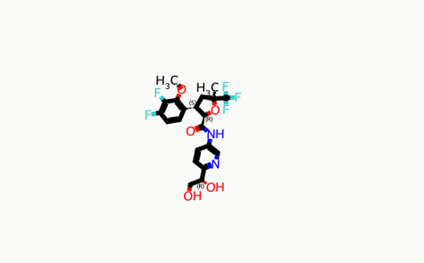 COc1c([C@@H]2C[C@](C)(C(F)(F)F)O[C@H]2C(=O)Nc2ccc([C@@H](O)CO)nc2)ccc(F)c1F